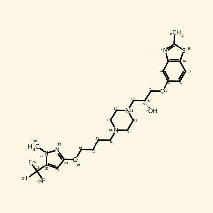 Cc1nc2cc(OC[C@H](O)CN3CCN(CCCCOc4cc(C(F)(F)F)n(C)n4)CC3)ccc2s1